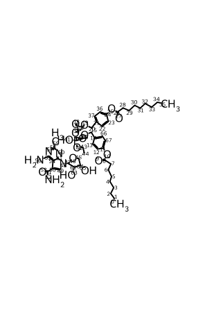 CCCCCCCCC(=O)Oc1ccc(COP(=O)(OCc2ccc(OC(=O)CCCCCCCC)cc2)OP(=O)(O)OCC[C@H]2O[C@@H](n3cc(C(N)=O)c4c(N)nc(C)nc43)[C@H](O)[C@@H]2O)cc1